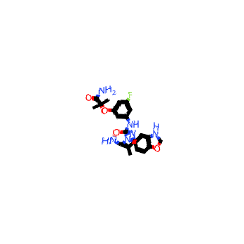 CC1=C2NOC(Nc3cc(F)cc(OC(C)(C)C(N)=O)c3)(N=C1)N2c1ccc2c(c1)NCO2